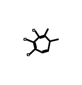 CC1=C(Cl)C(Cl)=C(Cl)C=CC1C